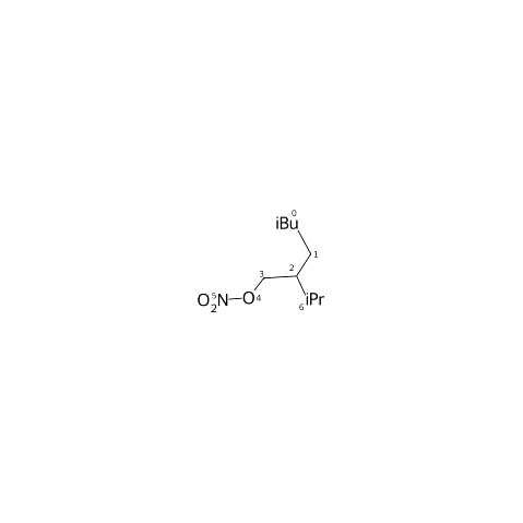 CCC(C)CC(CO[N+](=O)[O-])C(C)C